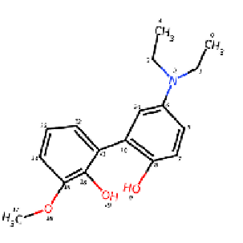 CCN(CC)c1ccc(O)c(-c2cccc(OC)c2O)c1